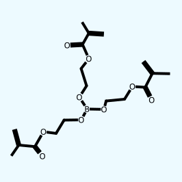 C=C(C)C(=O)OCCOB(OCCOC(=O)C(=C)C)OCCOC(=O)C(=C)C